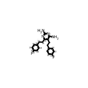 Nc1nc(N)c(CCc2ccc(F)cc2)c(CCc2ccc(F)cc2)n1